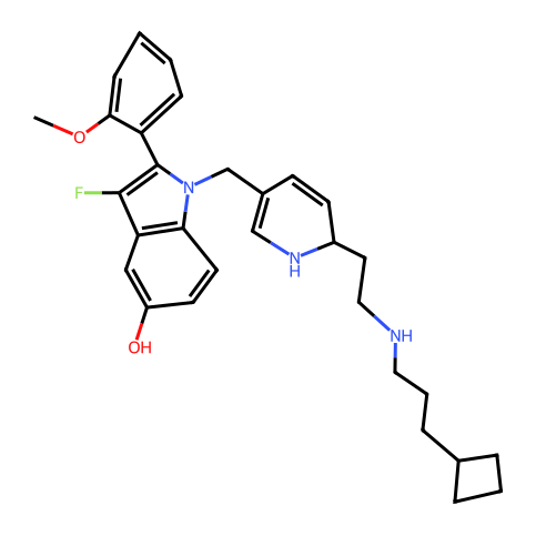 COc1ccccc1-c1c(F)c2cc(O)ccc2n1CC1=CNC(CCNCCCC2CCC2)C=C1